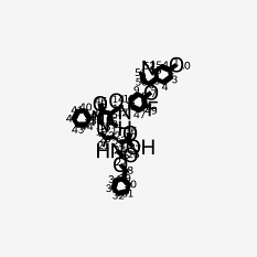 COc1ccc2c(Oc3ccc(NC(=O)c4c(C)n(C[C@H](C)C[C@H](NC(=O)OCc5ccccc5)C(=O)O)n(-c5ccccc5)c4=O)cc3F)ccnc2c1